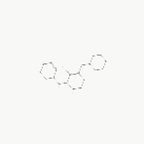 CC1C(CC2CCCCC2)CCCC1CC1CCCCC1